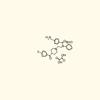 COc1ccccc1N(CCN1CCC(C(=O)c2ccc(F)cc2)CC1)C(=O)c1ccc(CN)cc1.O=C(O)C(=O)O